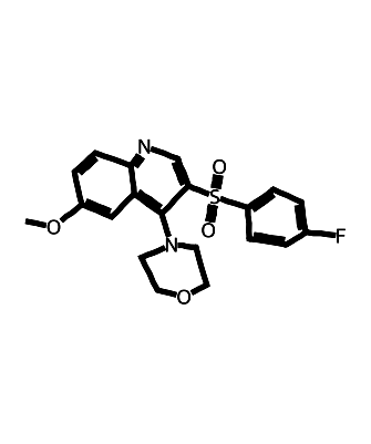 COc1ccc2ncc(S(=O)(=O)c3ccc(F)cc3)c(N3CCOCC3)c2c1